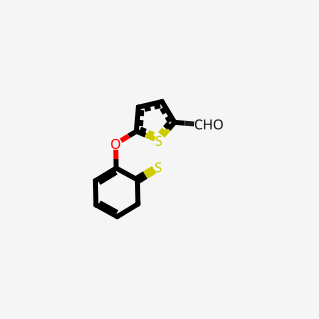 O=Cc1ccc(OC2=CC=CCC2=S)s1